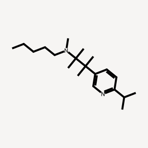 CCCCCN(C)C(C)(C)C(C)(C)c1ccc(C(C)C)nc1